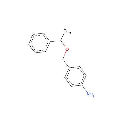 CC(OCc1ccc(N)cc1)c1ccccc1